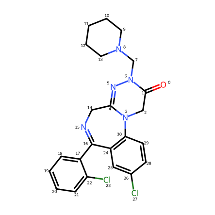 O=C1CN2C(=NN1CN1CCCCC1)CN=C(c1ccccc1Cl)c1cc(Cl)ccc12